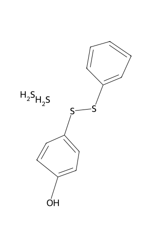 Oc1ccc(SSc2ccccc2)cc1.S.S